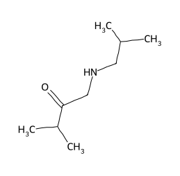 CC(C)CNCC(=O)C(C)C